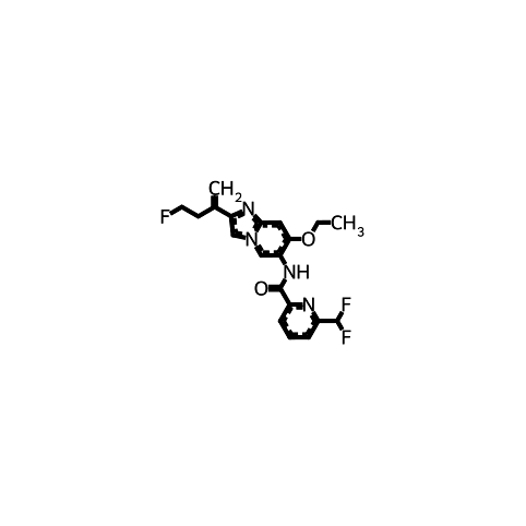 C=C(CCF)c1cn2cc(NC(=O)c3cccc(C(F)F)n3)c(OCC)cc2n1